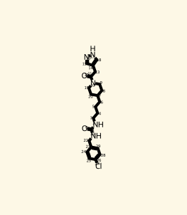 O=C(NCCCCC1CCN(C(=O)Cc2cn[nH]c2)CC1)NCc1ccc(Cl)cc1